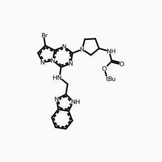 CC(C)(C)OC(=O)NC1CCN(c2nc(NCc3nc4ccccc4[nH]3)n3ncc(Br)c3n2)C1